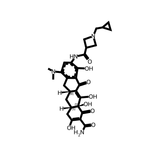 CN(C)c1cc(NC(=O)C2CN(CC3CC3)C2)c(O)c2c1C[C@H]1C[C@H]3CC(O)=C(C(N)=O)C(=O)[C@@]3(O)C(O)=C1C2=O